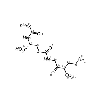 CCCCCCC(=O)N[C@H](CCC(=O)NCC(=O)C(CCN)C(=O)O)C(=O)O